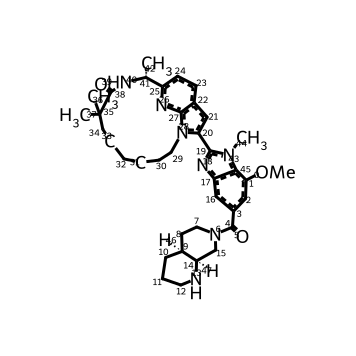 COc1cc(C(=O)N2CC[C@@H]3CCCN[C@@H]3C2)cc2nc(-c3cc4ccc5nc4n3CCCCCCC(C)(C)C(=O)N[C@@H]5C)n(C)c12